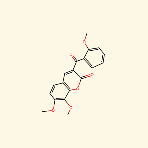 COc1ccccc1C(=O)c1cc2ccc(OC)c(OC)c2oc1=O